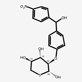 O=[N+]([O-])c1ccc(C(O)c2ccc(O[C@@H]3[C@@H](O)[C@H](O)CS[C@H]3O)cc2)cc1